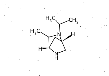 CC(C)N1C(C)[C@@H]2C[C@H]1CN2